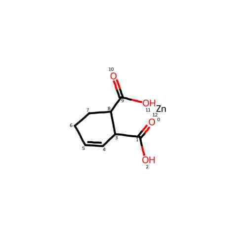 O=C(O)C1C=CCCC1C(=O)O.[Zn]